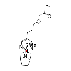 CSN1CC2CCC(C1)N2c1ncc(CCCOCC(=O)C(C)C)cn1